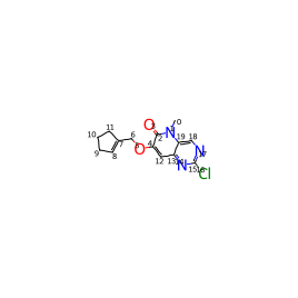 Cn1c(=O)c(OCC2=CCCC2)cc2nc(Cl)ncc21